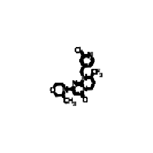 CC1COCCN1c1cc(=O)n2c(n1)N(Cc1ccnc(Cl)c1)C(C(F)(F)F)CC2